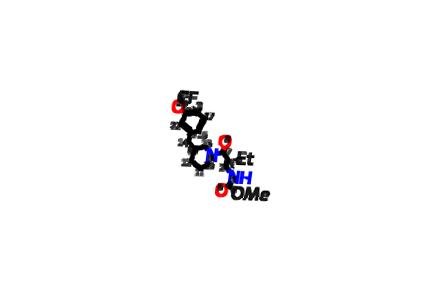 CC[C@H](CNC(=O)OC)C(=O)N1CCC[C@@H](Cc2cccc(OC(F)(F)F)c2)C1